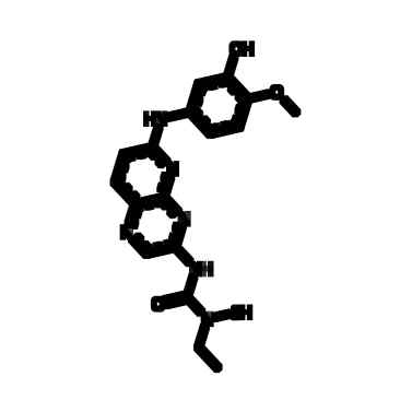 CCN(S)C(=O)Nc1cnc2ccc(Nc3ccc(OC)c(O)c3)nc2n1